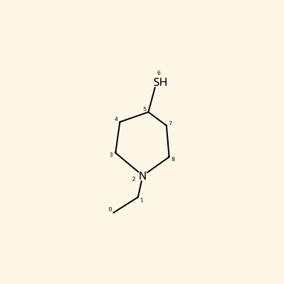 CCN1CCC(S)CC1